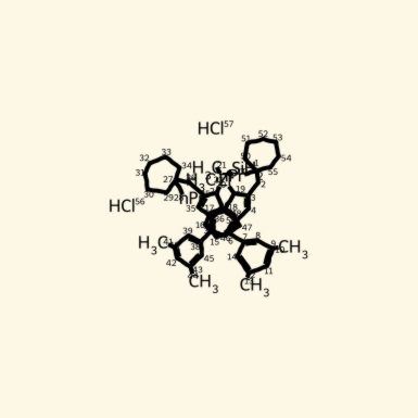 CCCC1(CC2=Cc3c(-c4cc(C)cc(C)c4)cccc3[CH]2[Zr]([CH3])([CH3])(=[SiH2])[CH]2C(CC3(CCC)CCCCCC3)=Cc3c(-c4cc(C)cc(C)c4)cccc32)CCCCCC1.Cl.Cl